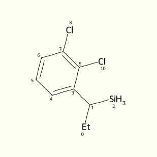 CCC([SiH3])c1cccc(Cl)c1Cl